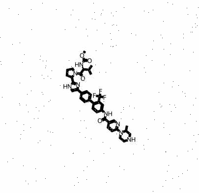 COC(=O)N[C@H](C(=O)N1CCCC1c1nc(-c2ccc(-c3ccc(NC(=O)c4ccc(N5CCNCC5C)nc4)cc3C(F)(F)F)cc2)c[nH]1)C(C)C